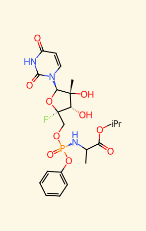 CC(C)OC(=O)C(C)N[P@@](=O)(OC[C@@]1(F)O[C@@H](n2ccc(=O)[nH]c2=O)[C@](C)(O)[C@@H]1O)Oc1ccccc1